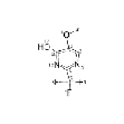 COc1cnc(C(F)(F)F)nc1O